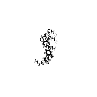 COCC1COc2cnc(Nc3ccc(-n4cnc(C)c4)c(F)c3)nc2N1C